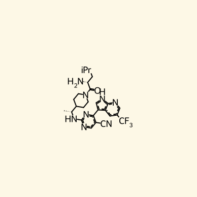 CC(C)C[C@@H](N)C(=O)N1CCC([C@@H](C)Nc2ncc(C#N)c(-c3c[nH]c4ncc(C(F)(F)F)cc34)n2)CC1